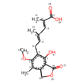 COc1c(C)c2c(c(O)c1C/C=C(C)/C=C(\C)C(=O)O)C(=O)OC2